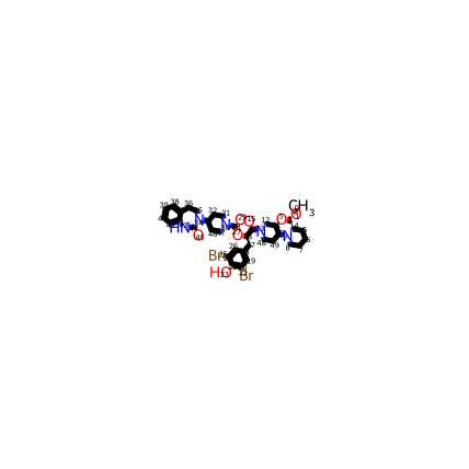 COC(=O)[C@@H]1CCCCN1C1CCN(C(=O)[C@@H](Cc2cc(Br)c(O)c(Br)c2)OC(=O)N2CCC(N3CCc4ccccc4NC3=O)CC2)CC1